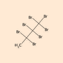 [CH2]C(Br)(Br)C(Br)(Br)C(Br)(Br)Br